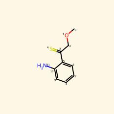 COCC(=S)c1ccccc1N